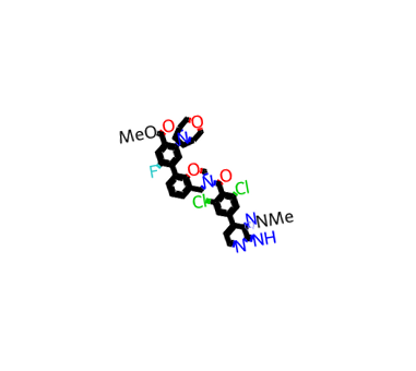 CN/N=C1\C(=N)N=CC=C1c1cc(Cl)c(C(=O)N2COc3c(cccc3-c3cc(N4C5CCC4COC5)c(C(=O)OC)cc3F)C2)c(Cl)c1